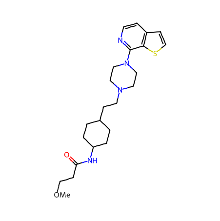 COCCC(=O)NC1CCC(CCN2CCN(c3nccc4ccsc34)CC2)CC1